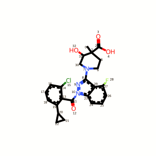 CC1(C(=O)O)CCN(c2nn(C(=O)c3c(Cl)cccc3C3CC3)c3cccc(F)c23)CC1O